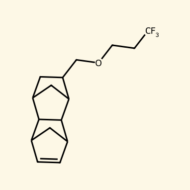 FC(F)(F)CCOCC1CC2CC1C1C3C=CC(C3)C21